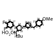 COc1ccc(Cn2cc(N3C[C@@H](N(C(=O)O)C(C)(C)C)[C@H](c4ccc(F)c(F)c4)C3)cn2)cc1